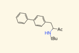 CC(=O)C(Cc1ccc(-c2ccccc2)cc1)NC(C)(C)C